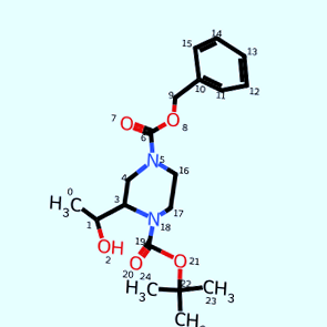 CC(O)C1CN(C(=O)OCc2ccccc2)CCN1C(=O)OC(C)(C)C